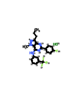 CCCc1nn(C)c2c(Nc3cccc(C(F)(F)F)c3)nc(-c3ccc(F)cc3)nc12.Cl